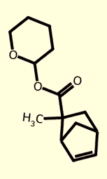 CC1(C(=O)OC2CCCCO2)CC2C=CC1C2